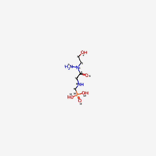 NN(CCO)C(=O)CNCP(=O)(O)O